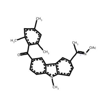 CC(=O)O/N=C(\C)c1ccc2c(c1)c1cc(C(=O)c3c(C)cc(C)cc3C)ccc1n2C